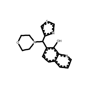 Oc1c(C(c2cscn2)N2CCOCC2)ccc2cccnc12